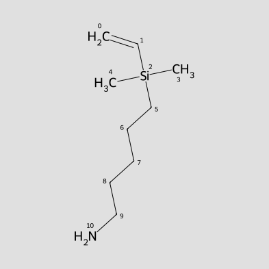 C=C[Si](C)(C)CCCCCN